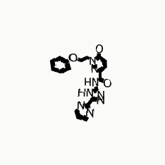 O=C(Nc1nnc(-c2ncccn2)[nH]1)c1ccc(=O)n(CCOc2ccccc2)n1